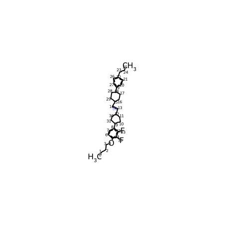 CCCCOc1ccc(C2CCC(/C=C/C3CCC(c4ccc(CCC)cc4)CC3)CC2)c(F)c1F